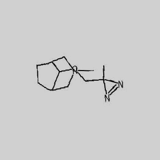 CN1CC2CCC(C1)C2OCC1(C)N=N1